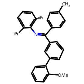 COc1ccccc1-c1cccc(C(=Nc2c(C(C)C)cccc2C(C)C)c2ccc(C)cc2)c1